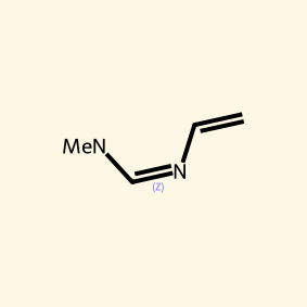 C=C/N=C\NC